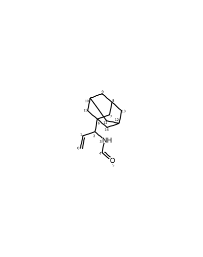 C=CC(NC=O)C12CC3CC(CC(C3)C1)C2